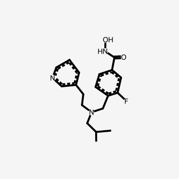 CC(C)CN(CCc1cccnc1)Cc1ccc(C(=O)NO)cc1F